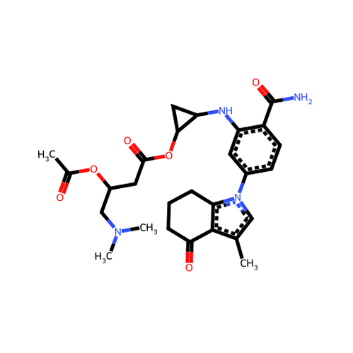 CC(=O)OC(CC(=O)OC1CC1Nc1cc(-n2cc(C)c3c2CCCC3=O)ccc1C(N)=O)CN(C)C